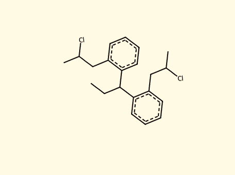 CCC(c1ccccc1CC(C)Cl)c1ccccc1CC(C)Cl